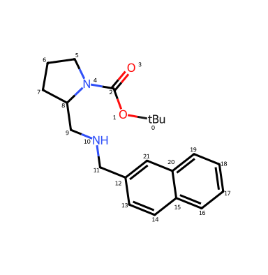 CC(C)(C)OC(=O)N1CCCC1CNCc1ccc2ccccc2c1